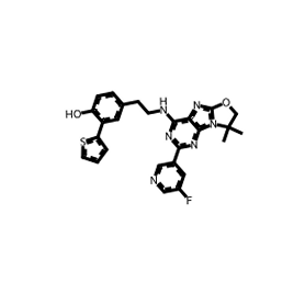 CC1(C)COc2nc3c(NCCc4ccc(O)c(-c5cccs5)c4)nc(-c4cncc(F)c4)nc3n21